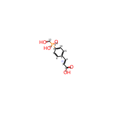 O=C(O)/C=C/c1ccc(P(=O)(O)CO)cc1